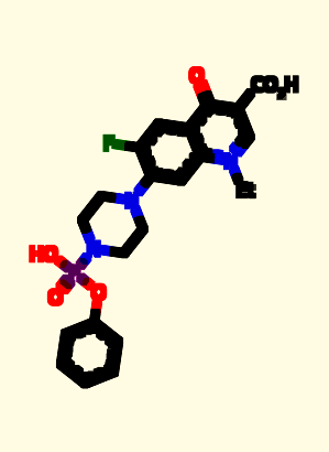 CCn1cc(C(=O)O)c(=O)c2cc(F)c(N3CCN(P(=O)(O)Oc4ccccc4)CC3)cc21